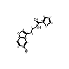 O=C(NCCc1csc2ccc(Br)cc12)c1ccco1